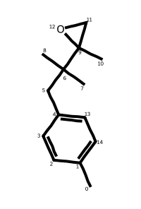 Cc1ccc(CC(C)(C)C2(C)CO2)cc1